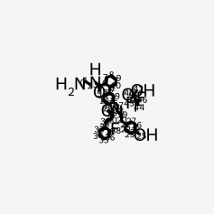 NCCNC(=O)c1ccccc1-c1cccc(CN(CCc2ccc(O)cc2)C(=O)C=Cc2ccccc2F)c1.O=C(O)C(F)(F)F